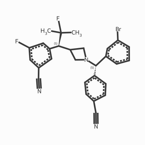 CC(C)(F)[C@H](c1cc(F)cc(C#N)c1)C1CN([C@@H](c2ccc(C#N)cc2)c2cccc(Br)c2)C1